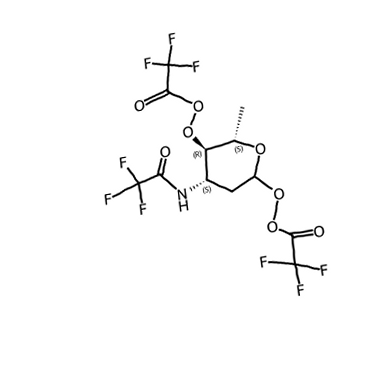 C[C@@H]1OC(OOC(=O)C(F)(F)F)C[C@H](NC(=O)C(F)(F)F)[C@H]1OOC(=O)C(F)(F)F